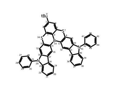 CC(C)(C)c1cc2c3c(c1)Sc1cc4c(cc1B3c1cc3c5ccccc5n(-c5ccccc5)c3cc1S2)c1ccccc1n4-c1ccccc1